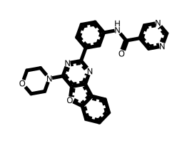 O=C(Nc1cccc(-c2nc(N3CCOCC3)c3oc4ccccc4c3n2)c1)c1cncnc1